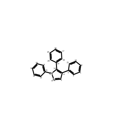 c1ccc(-c2cnn(-c3ccccc3)c2-c2ccccc2)cc1